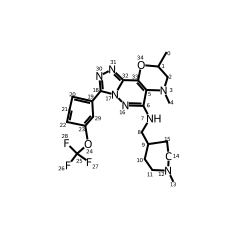 CC1CN(C)c2c(NCC3CCN(C)CC3)nn3c(-c4cccc(OC(F)(F)F)c4)nnc3c2O1